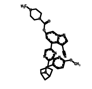 COc1ccc(CN2C3CC2CN(c2cnc(-c4cc(OC(=O)N5CCN(C)CC5)cn5ncc(C#N)c45)cn2)C3)cn1